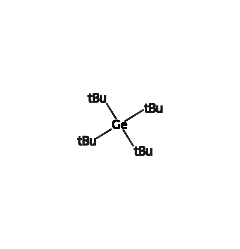 C[C](C)(C)[Ge]([C](C)(C)C)([C](C)(C)C)[C](C)(C)C